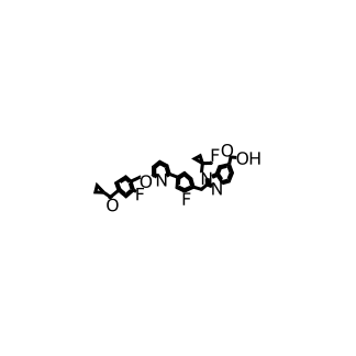 O=C(O)c1ccc2nc(Cc3ccc(-c4cccc(OCc5ccc(C(=O)C6CC6)cc5F)n4)cc3F)n(CC3(CF)CC3)c2c1